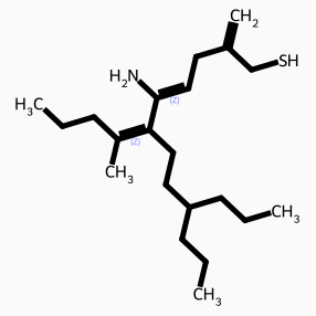 C=C(CS)C/C=C(N)/C(CCC(CCC)CCC)=C(/C)CCC